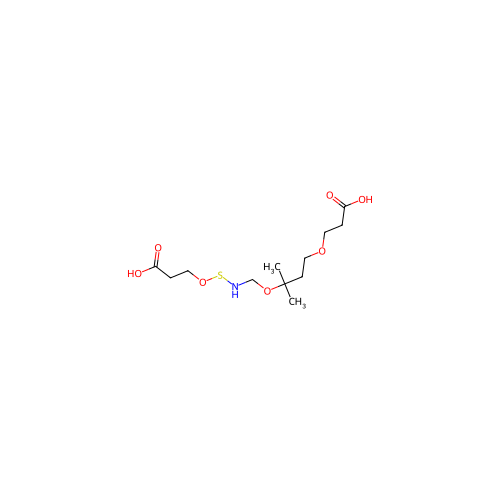 CC(C)(CCOCCC(=O)O)OCNSOCCC(=O)O